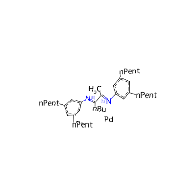 CCCCCc1cc(CCCCC)cc(/N=C(C)/C(CCCC)=N/c2cc(CCCCC)cc(CCCCC)c2)c1.[Pd]